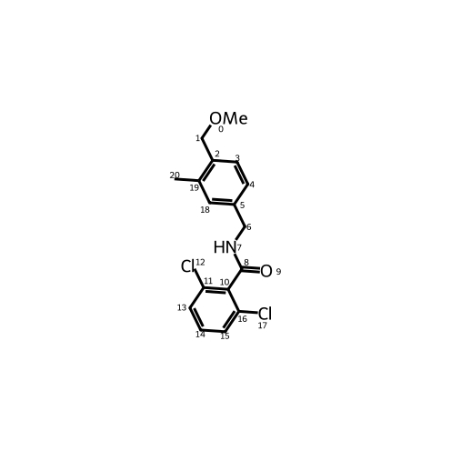 COCc1ccc(CNC(=O)c2c(Cl)cccc2Cl)cc1C